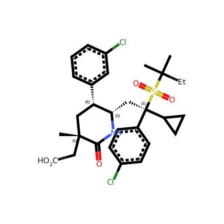 CCC(C)(C)S(=O)(=O)[C@](C[C@@H]1NC(=O)[C@](C)(CC(=O)O)C[C@@H]1c1cccc(Cl)c1)(c1ccc(Cl)cc1)C1CC1